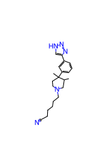 CC1CN(CCCCCC#N)CCC1(C)c1cccc(-c2c[nH]nn2)c1